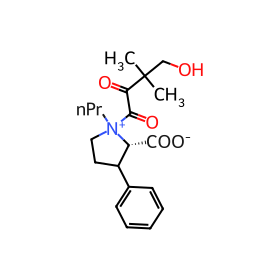 CCC[N+]1(C(=O)C(=O)C(C)(C)CO)CCC(c2ccccc2)[C@H]1C(=O)[O-]